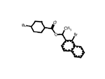 CCC(C)C1CCC(C(=O)OC(C)c2ccc3ccccc3c2Br)CC1